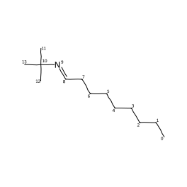 CCCCCCCC/C=N/C(C)(C)C